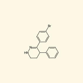 Brc1ccc(C2=NNCCC2c2ccccc2)cc1